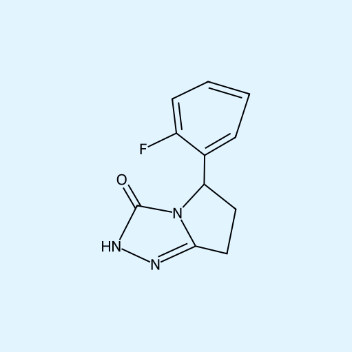 O=c1[nH]nc2n1C(c1ccccc1F)CC2